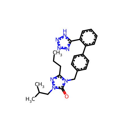 CCCc1nn(CC(C)C)c(=O)n1Cc1ccc(-c2ccccc2-c2nnn[nH]2)cc1